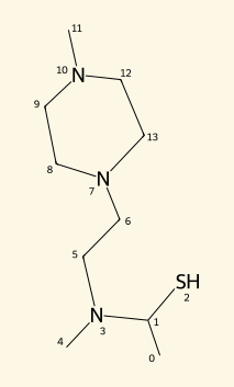 CC(S)N(C)CCN1CCN(C)CC1